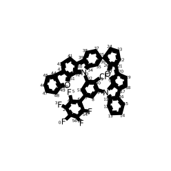 Fc1c(F)c(F)c(-c2cc(-n3c4ccccc4c4ccc5c6ccccc6oc5c43)c(C(F)(F)F)c(-n3c4ccccc4c4ccc5c6ccccc6oc5c43)c2)c(F)c1F